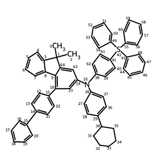 CC1(C)c2ccccc2-c2c(-c3ccc(-c4ccccc4)cc3)cc(N(c3ccc(C4CCCCC4)cc3)c3ccc(S(c4ccccc4)(c4ccccc4)c4ccccc4)cc3)cc21